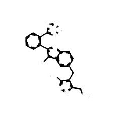 CCCCc1n[nH]c(COC)c1Cc1ccc2oc(-c3ccccc3-c3nnn[nH]3)c(Br)c2c1